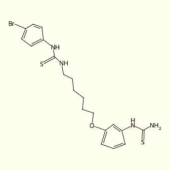 NC(=S)Nc1cccc(OCCCCCCNC(=S)Nc2ccc(Br)cc2)c1